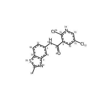 Cc1nc2cc(NC(=O)c3cc(Cl)cnc3Cl)ccc2s1